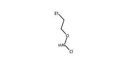 CCCC[O][AlH][Cl]